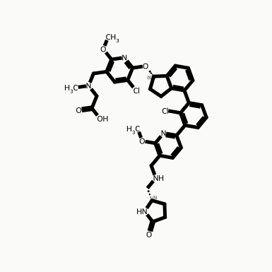 COc1nc(-c2cccc(-c3cccc4c3CC[C@@H]4Oc3nc(OC)c(CN(C)CC(=O)O)cc3Cl)c2Cl)ccc1CNC[C@@H]1CCC(=O)N1